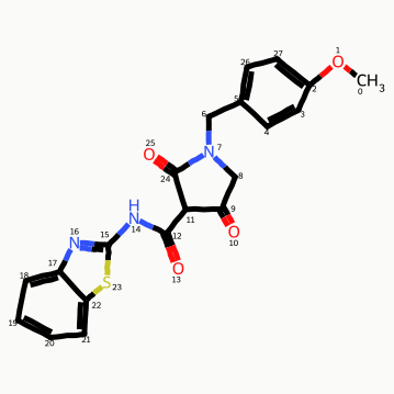 COc1ccc(CN2CC(=O)C(C(=O)Nc3nc4ccccc4s3)C2=O)cc1